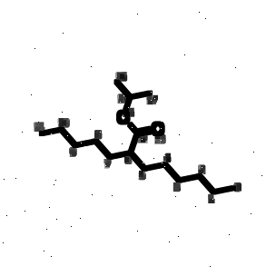 CCCCCCC(CCCCC)C(=O)OC(C)C